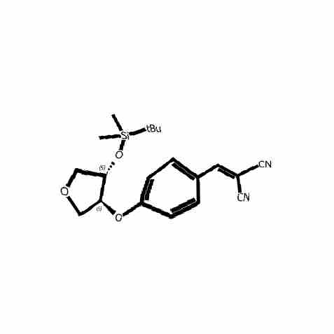 CC(C)(C)[Si](C)(C)O[C@H]1COC[C@@H]1Oc1ccc(C=C(C#N)C#N)cc1